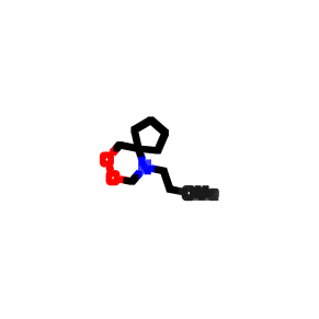 COCCN1COOCC12CCCC2